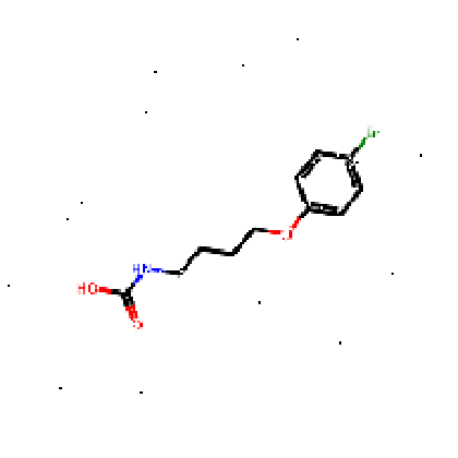 O=C(O)NCCCCOc1ccc(Br)cc1